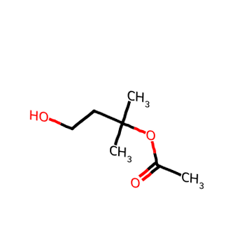 CC(=O)OC(C)(C)CCO